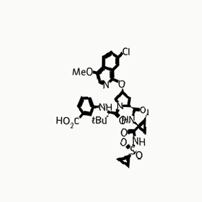 COc1cnc(O[C@@H]2C[C@@H](C(=O)N[C@]3(C(=O)NS(=O)(=O)C4CC4)C[C@H]3I)N(C(=O)[C@@H](Nc3cccc(C(=O)O)c3)C(C)(C)C)C2)c2cc(Cl)ccc12